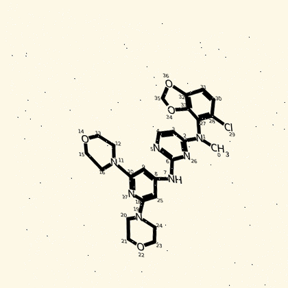 CN(c1ccnc(Nc2cc(N3CCOCC3)nc(N3CCOCC3)c2)n1)c1c(Cl)ccc2c1OCO2